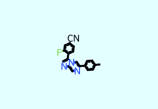 Cc1ccc(-c2cn3c(-c4ccc(C#N)cc4F)cnc3cn2)cc1